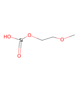 COCCO[Si](=O)O